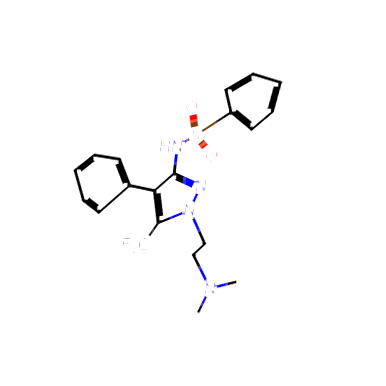 CN(C)CCn1nc(NS(=O)(=O)c2ccccc2)c(-c2ccccc2)c1C(F)(F)F